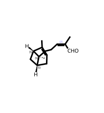 CC1=CC[C@@H]2C[C@H]1[C@@]2(C)CC/C=C(/C)C=O